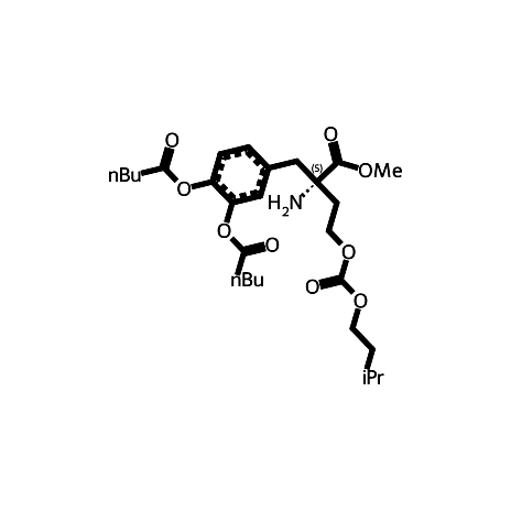 CCCCC(=O)Oc1ccc(C[C@](N)(CCOC(=O)OCCC(C)C)C(=O)OC)cc1OC(=O)CCCC